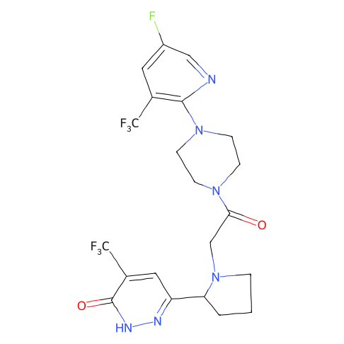 O=C(CN1CCCC1c1cc(C(F)(F)F)c(=O)[nH]n1)N1CCN(c2ncc(F)cc2C(F)(F)F)CC1